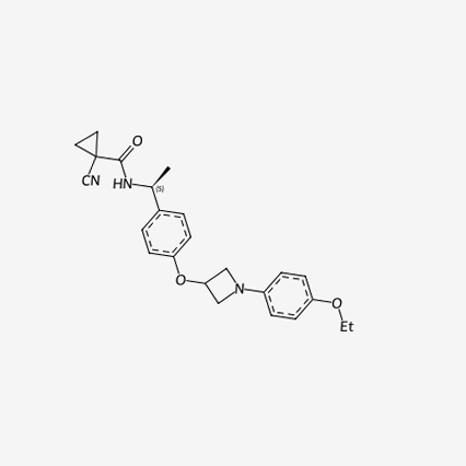 CCOc1ccc(N2CC(Oc3ccc([C@H](C)NC(=O)C4(C#N)CC4)cc3)C2)cc1